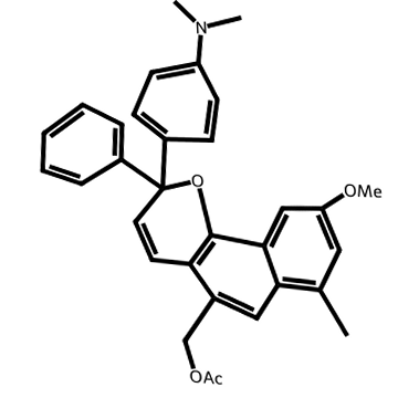 COc1cc(C)c2cc(COC(C)=O)c3c(c2c1)OC(c1ccccc1)(c1ccc(N(C)C)cc1)C=C3